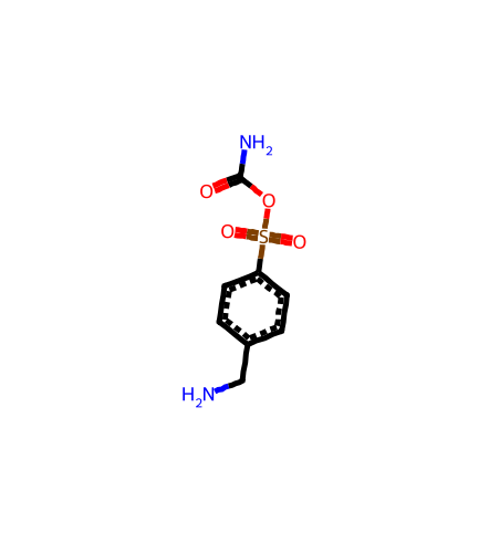 NCc1ccc(S(=O)(=O)OC(N)=O)cc1